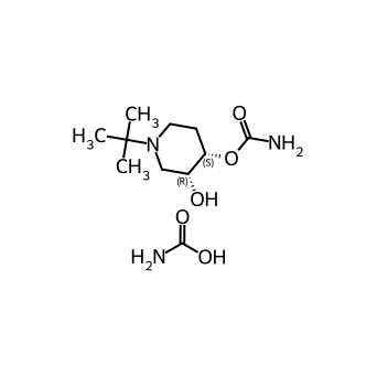 CC(C)(C)N1CC[C@H](OC(N)=O)[C@H](O)C1.NC(=O)O